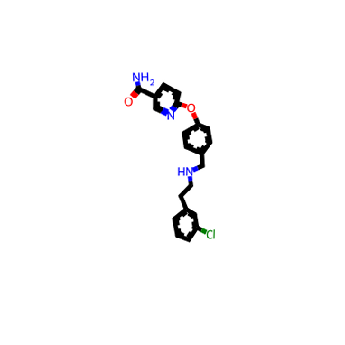 NC(=O)c1ccc(Oc2ccc(CNCCc3cccc(Cl)c3)cc2)nc1